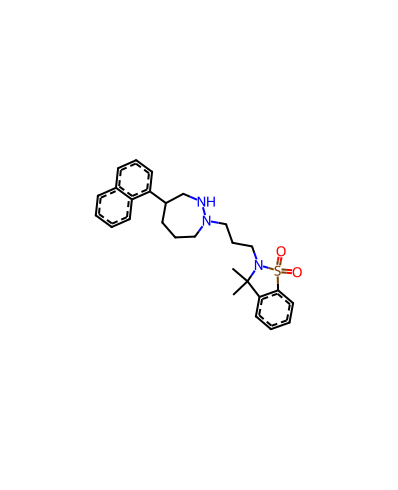 CC1(C)c2ccccc2S(=O)(=O)N1CCCN1CCCC(c2cccc3ccccc23)CN1